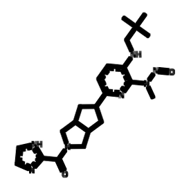 CN(N=O)c1nc(C2CC3CN(C(=O)c4ncc[nH]4)CC3C2)ccc1NCC(C)(C)C